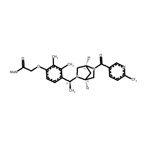 CNC(=O)COc1ccc([C@H](C)N2C[C@@H]3C[C@H]2CN3C(=O)c2ccc(C(F)(F)F)nc2)c(C)c1C